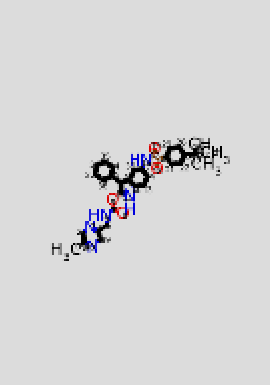 Cc1cnc(CNC(=O)Oc2[nH]c3ccc(NS(=O)(=O)c4ccc(C(C)(C)C)cc4)cc3c2-c2ccccc2)cn1